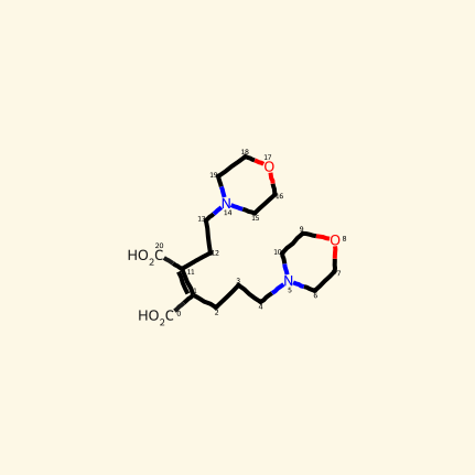 O=C(O)C(CCCN1CCOCC1)=C(CCN1CCOCC1)C(=O)O